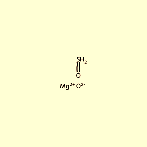 O=[SH2].[Mg+2].[O-2]